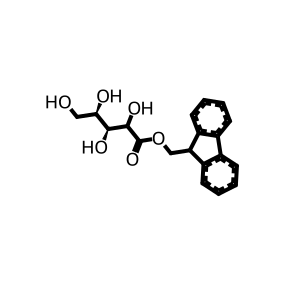 O=C(OCC1c2ccccc2-c2ccccc21)C(O)[C@@H](O)[C@H](O)CO